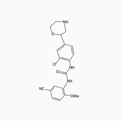 COc1ccc(C#N)cc1NC(=O)Nc1ccc(C2CNCCO2)cc1Cl